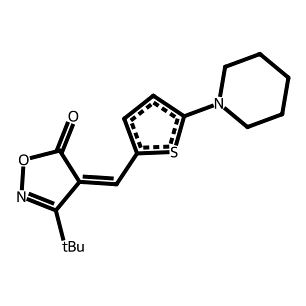 CC(C)(C)C1=NOC(=O)/C1=C\c1ccc(N2CCCCC2)s1